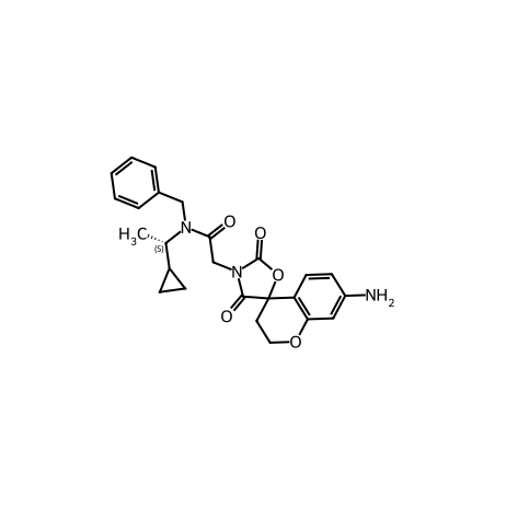 C[C@@H](C1CC1)N(Cc1ccccc1)C(=O)CN1C(=O)OC2(CCOc3cc(N)ccc32)C1=O